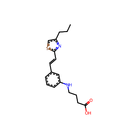 CCCc1csc(C=Cc2cccc(NCCCC(=O)O)c2)n1